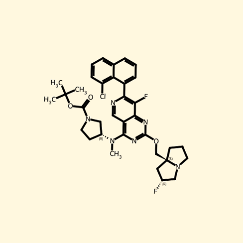 CN(c1nc(OC[C@@]23CCCN2C[C@H](F)C3)nc2c(F)c(-c3cccc4cccc(Cl)c34)ncc12)[C@@H]1CCN(C(=O)OC(C)(C)C)C1